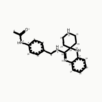 CC(=O)Nc1ccc(CNC2=Nc3ccccc3NC23CCNCC3)cc1